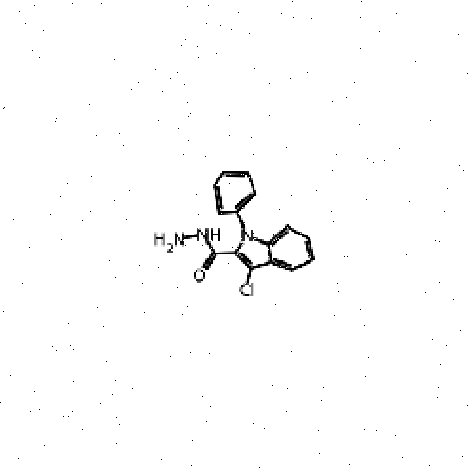 NNC(=O)c1c(Cl)c2ccccc2n1-c1ccccc1